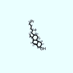 CC(C)CCC[C@@H](I)[C@H]1CCC2C3CC=C4C[C@@H](O)CC[C@]4(C)C3CC[C@@]21C